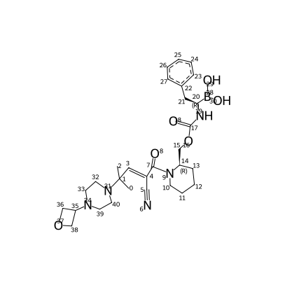 CC(C)(C=C(C#N)C(=O)N1CCCC[C@@H]1COC(=O)N[C@@H](Cc1ccccc1)B(O)O)N1CCN(C2COC2)CC1